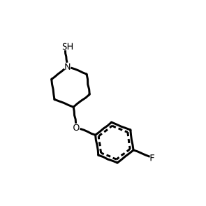 Fc1ccc(OC2CCN(S)CC2)cc1